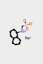 O=S(=O)([O-])CNc1cccc2ccccc12.[Na+]